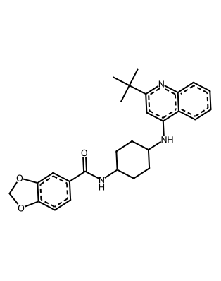 CC(C)(C)c1cc(NC2CCC(NC(=O)c3ccc4c(c3)OCO4)CC2)c2ccccc2n1